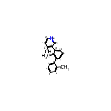 Cc1ccccc1-c1cccc(-c2cnccc2C)c1C